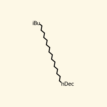 [CH2]CCCCCCCCCCCCCCCCCCCCCCCCCC(C)C[CH2]